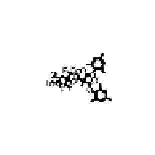 Cc1cc(C)c(OC(=O)C(C)(C(=O)Oc2c(C)cc(C)cc2C)C(=O)OC(CS(=O)(=O)O)(C(F)(F)F)C(F)(F)F)c(C)c1